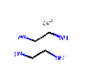 [Cu+2].[NH-]CC[NH-].[NH-]CC[NH-]